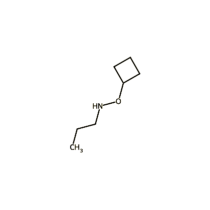 CCCNOC1CCC1